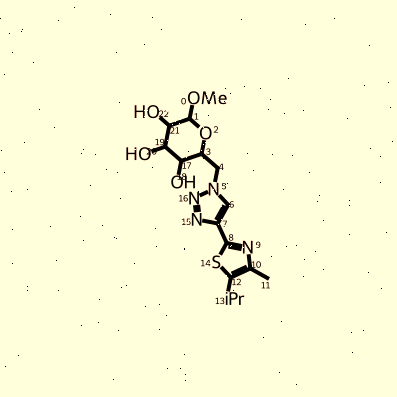 COC1OC(Cn2cc(-c3nc(C)c(C(C)C)s3)nn2)C(O)C(O)C1O